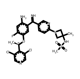 C[C@@H](Oc1cc(C(=N)c2ccc(N3CC(C)(NS(C)(=O)=O)C3)nc2)c(N)cc1F)c1c(Cl)cncc1Cl